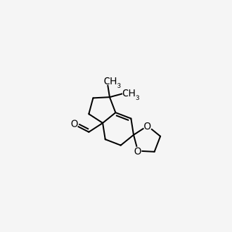 CC1(C)CCC2(C=O)CCC3(C=C12)OCCO3